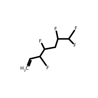 C=CC(F)C(F)CC(F)C(F)F